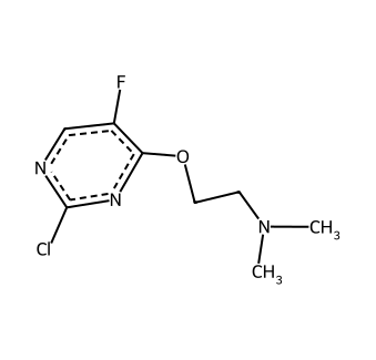 CN(C)CCOc1nc(Cl)ncc1F